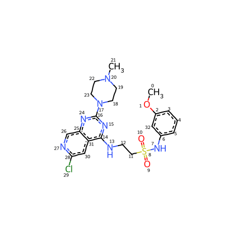 COc1cccc(NS(=O)(=O)CCNc2nc(N3CCN(C)CC3)nc3cnc(Cl)cc23)c1